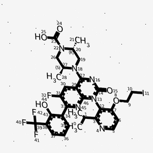 CC(C)c1nccc(OCCI)c1-n1c(=O)nc(N2C[C@@H](C)N(C(=O)O)C[C@@H]2C)c2cc(F)c(-c3cccc(C(F)(F)F)c3O)nc21